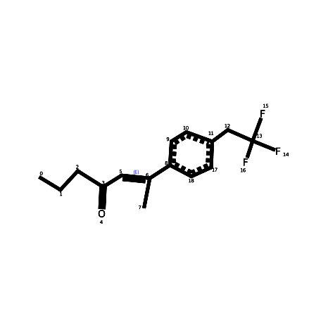 CCCC(=O)/C=C(\C)c1ccc(CC(F)(F)F)cc1